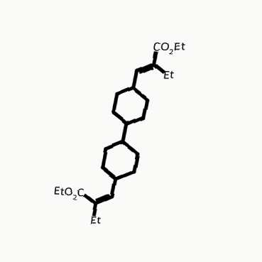 CCOC(=O)C(=CC1CCC(C2CCC(C=C(CC)C(=O)OCC)CC2)CC1)CC